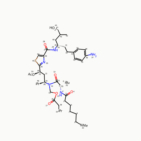 CC[C@H](C)[C@H](NC(=O)CCCCCNC)C(=O)N(COC(=O)CC(C)C)[C@H](C[C@@H](OC(C)=O)c1nc(C(=O)N[C@@H](CCc2ccc(N)cc2)CC(C)C(=O)O)cs1)C(C)C